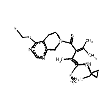 C=N/C(NC1(C)CC1)=C(\C)C(C(=O)N1CCc2c(ncnc2OCF)C1)=C(C)C